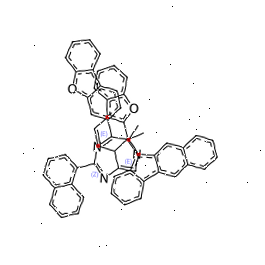 CC1C/C=C(C2C=Cc3c(oc4ccccc34)C2(C)n2c3ccccc3c3cc4ccccc4cc32)/N=C(c2cccc3ccccc23)\N=C/1c1ccc2c(c1)oc1ccccc12